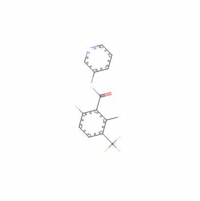 Cc1c(C(F)(F)F)ccc(F)c1C(=O)Nc1cccnc1